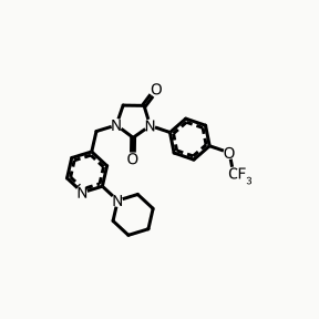 O=C1CN(Cc2ccnc(N3CCCCC3)c2)C(=O)N1c1ccc(OC(F)(F)F)cc1